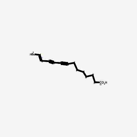 CCCC/C=C/C#CC#CCCCCCCC(=O)O